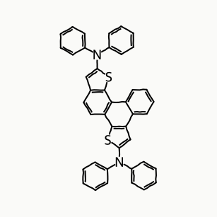 c1ccc(N(c2ccccc2)c2cc3c4ccccc4c4c(ccc5cc(N(c6ccccc6)c6ccccc6)sc54)c3s2)cc1